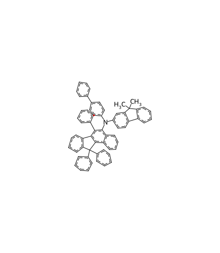 CC1(C)c2ccccc2-c2ccc(N(c3ccc(-c4ccccc4)cc3)c3c(-c4ccccc4)c4c(c5ccccc35)C(c3ccccc3)(c3ccccc3)c3ccccc3-4)cc21